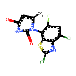 O=c1cc(C(F)(F)F)n(-c2c(F)cc(Cl)c3nc(Cl)sc23)c(=O)[nH]1